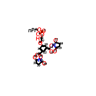 CCCOP(=O)(O)OCCOc1cc(C(=O)ON2C(=O)CCC2=O)cc(C(=O)ON2C(=O)CCC2=O)c1